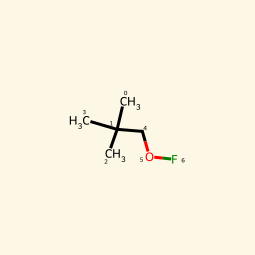 CC(C)(C)COF